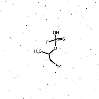 CC(C)CC(C)OP(O)(F)=S